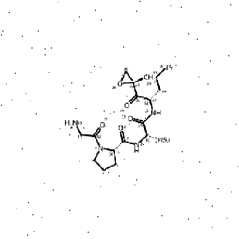 CCCC[C@H](NC(=O)[C@@H]1CCCN1C(=O)CN)C(=O)N[C@@H](CCC(C)C)C(=O)[C@@]1(C)CO1